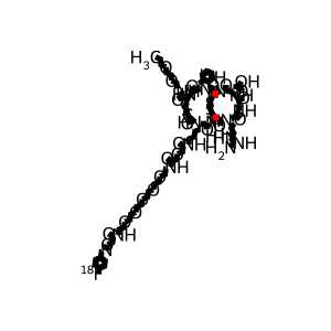 CCCOCCOCCNC(=O)[C@@H]1CSCC(=O)N[C@@H](CCCCNC(=O)COCC(=O)NCCOCCOCCOCCOCCOCCNC(=O)CO/N=C/c2ccc([18F])cc2)C(=O)N[C@H]2CSSC[C@H](NC(=O)[C@H](CC(=O)O)NC(=O)CNC(=O)[C@H](CCCNC(=N)N)NC2=O)C(=O)N[C@@H](Cc2ccccc2)C(=O)N1